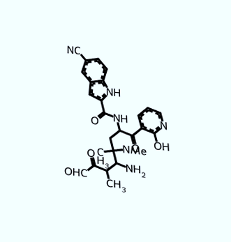 CNC(C)(CC(NC(=O)c1cc2cc(C#N)ccc2[nH]1)C(=O)c1cccnc1O)C(N)C(C)C(=O)C=O